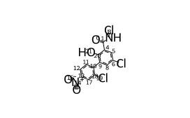 O=C(NCl)c1cc(Cl)cc(-c2ccc([N+](=O)[O-])cc2Cl)c1O